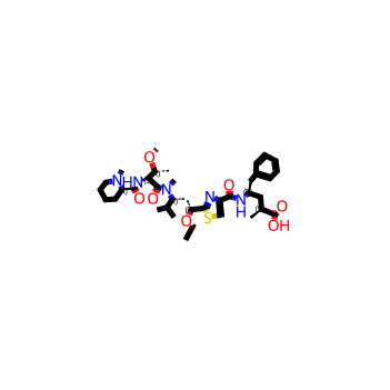 CCO[C@H](C[C@H](C(C)C)N(C)C(=O)[C@@H](NC(=O)[C@H]1CCCCN1C)[C@@H](C)OC)c1nc(C(=O)N[C@@H](Cc2ccccc2)C[C@H](C)C(=O)O)cs1